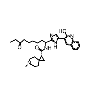 CCC(=O)CCCCCC(NC(=O)[C@@H]1CC12CCN(C)CC2)c1ncc(-c2cc3ccccc3nc2O)[nH]1